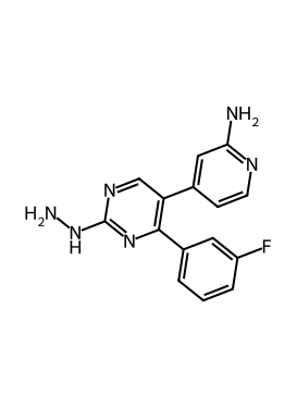 NNc1ncc(-c2ccnc(N)c2)c(-c2cccc(F)c2)n1